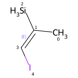 C/C([SiH3])=C\I